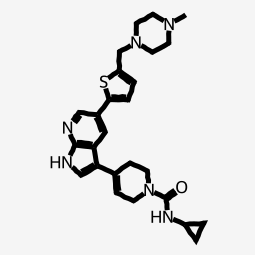 CN1CCN(Cc2ccc(-c3cnc4[nH]cc(C5=CCN(C(=O)NC6CC6)CC5)c4c3)s2)CC1